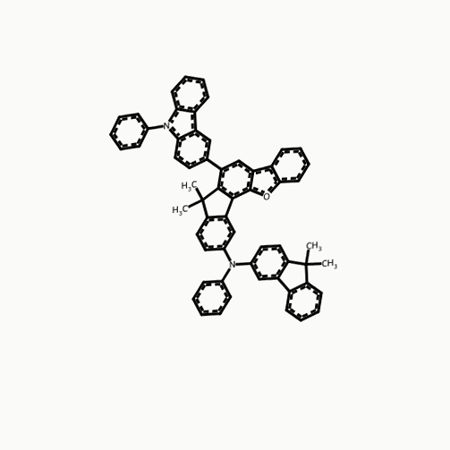 CC1(C)c2ccccc2-c2cc(N(c3ccccc3)c3ccc4c(c3)-c3c(c(-c5ccc6c(c5)c5ccccc5n6-c5ccccc5)cc5c3oc3ccccc35)C4(C)C)ccc21